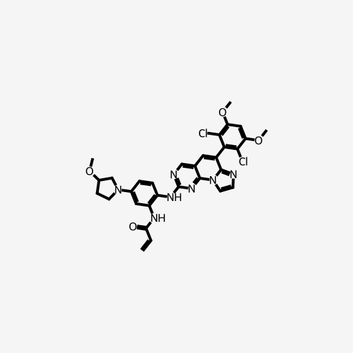 C=CC(=O)Nc1cc(N2CCC(OC)C2)ccc1Nc1ncc2cc(-c3c(Cl)c(OC)cc(OC)c3Cl)c3nccn3c2n1